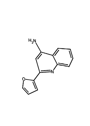 Nc1cc(-c2ccco2)nc2ccccc12